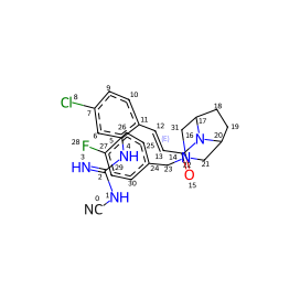 N#CNC(=N)Nc1cc(Cl)ccc1/C=C/C(=O)N1C2CCC1CN(Cc1ccc(F)cc1)C2